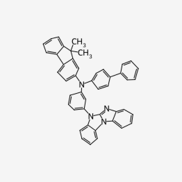 CC1(C)c2ccccc2-c2ccc(N(c3ccc(-c4ccccc4)cc3)c3cccc(-n4c5ccccc5n5c6ccccc6nc45)c3)cc21